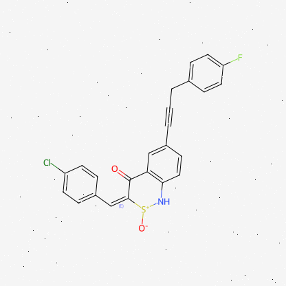 O=C1/C(=C\c2ccc(Cl)cc2)[S+]([O-])Nc2ccc(C#CCc3ccc(F)cc3)cc21